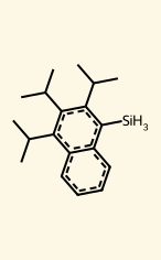 CC(C)c1c(C(C)C)c(C(C)C)c2ccccc2c1[SiH3]